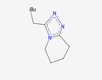 CCC(C)Cc1nnc2n1CCCC2